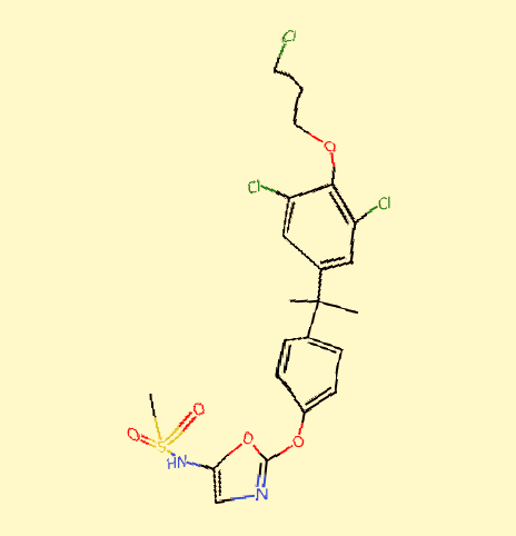 CC(C)(c1ccc(Oc2ncc(NS(C)(=O)=O)o2)cc1)c1cc(Cl)c(OCCCCl)c(Cl)c1